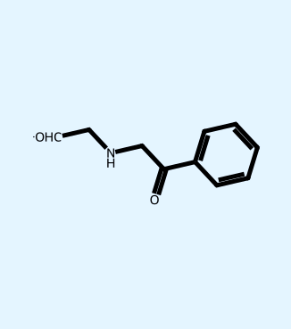 O=[C]CNCC(=O)c1ccccc1